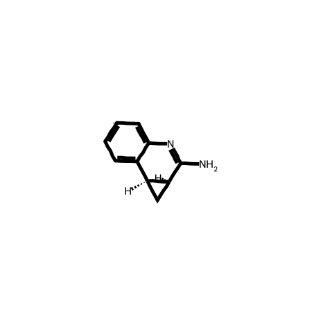 NC1=Nc2c[c]ccc2[C@@H]2C[C@H]12